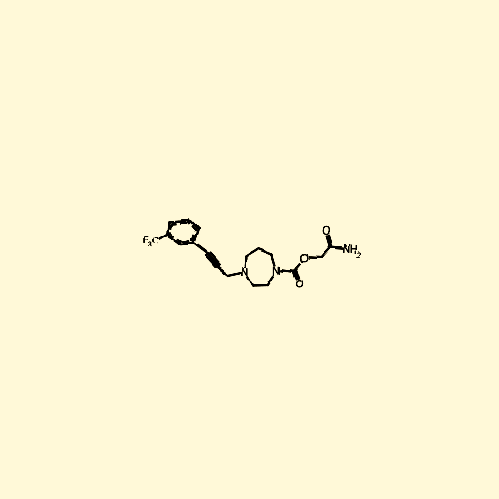 NC(=O)COC(=O)N1CCCN(CC#Cc2cccc(C(F)(F)F)c2)CC1